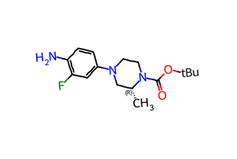 C[C@@H]1CN(c2ccc(N)c(F)c2)CCN1C(=O)OC(C)(C)C